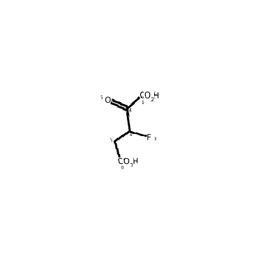 O=C(O)CC(F)C(=O)C(=O)O